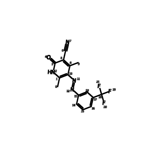 Cc1[nH]c(=O)c(C#N)c(C)c1N=Nc1cccc(C(F)(F)F)c1